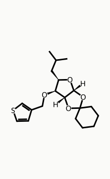 CC(C)C[C@H]1O[C@@H]2OC3(CCCCC3)O[C@@H]2[C@H]1OCc1ccsc1